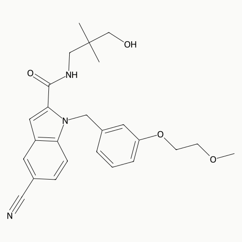 COCCOc1cccc(Cn2c(C(=O)NCC(C)(C)CO)cc3cc(C#N)ccc32)c1